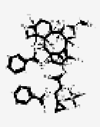 C=C[C@@H]1O[C@@H]2C3=C(C)[C@@H](OC(=O)[C@H](O[Si](C(C)C)(C(C)C)C(C)C)[C@@H](NC(=O)c4ccccc4)C4CC4)C[C@@](O)([C@@H](OC(=O)c4ccccc4)[C@H]4[C@@](C)(CC[C@H]5OC[C@]54OC(C)=O)[C@@H]2O1)C3(C)C